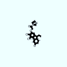 CCC1c2cc(OCC(=O)n3ccnc3)c(Cl)c(Cl)c2C2=CC(=O)CCC21